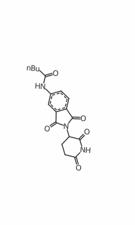 CCCCC(=O)Nc1ccc2c(c1)C(=O)N(C1CCC(=O)NC1=O)C2=O